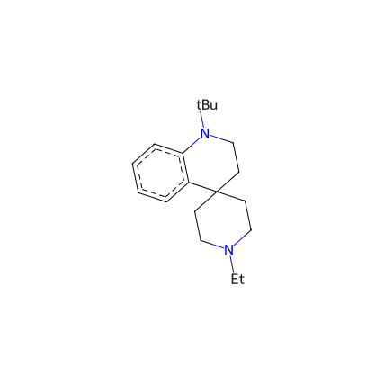 CCN1CCC2(CC1)CCN(C(C)(C)C)c1ccccc12